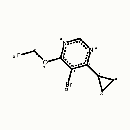 FCOc1ncnc(C2CC2)c1Br